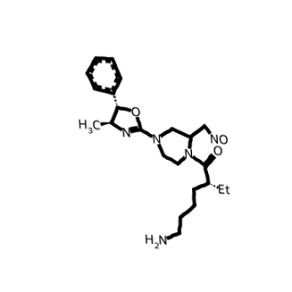 CC[C@H](CCCCN)C(=O)N1CCN(C2=N[C@@H](C)[C@H](c3ccccc3)O2)CC1CN=O